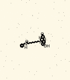 C[C@]12CCC(=O)C[C@@H]1C[C@@H](CCCCCCCCCC(=O)NCc1ccccc1)[C@@H]1[C@@H]2CC[C@]2(C)[C@@H](O)CC[C@@H]12